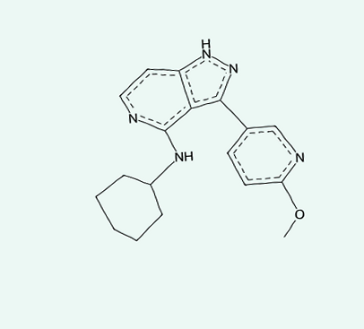 COc1ccc(-c2n[nH]c3ccnc(NC4CCCCC4)c23)cn1